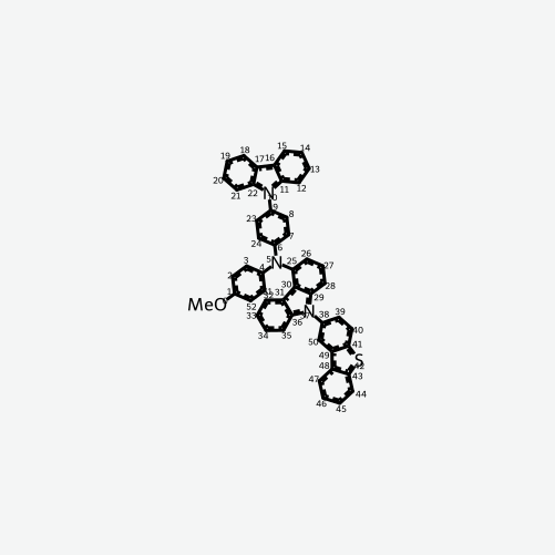 COc1ccc(N(c2ccc(-n3c4ccccc4c4ccccc43)cc2)c2cccc3c2c2ccccc2n3-c2ccc3sc4ccccc4c3c2)cc1